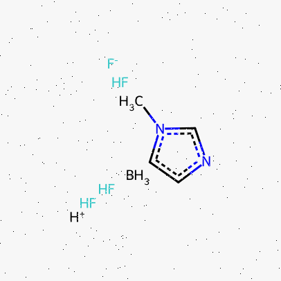 B.Cn1ccnc1.F.F.F.[F-].[H+]